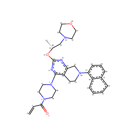 C=CC(=O)N1CCN(c2nc(O[C@H](C)CN3CCOCC3)nc3c2CCN(c2cccc4ccccc24)C3)CC1